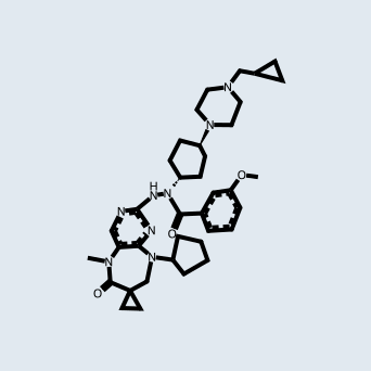 COc1cccc(C(=O)N(Nc2ncc3c(n2)N(C2CCCC2)CC2(CC2)C(=O)N3C)[C@H]2CC[C@H](N3CCN(CC4CC4)CC3)CC2)c1